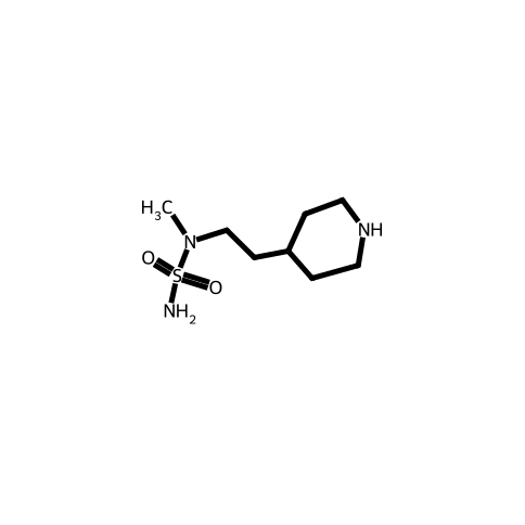 CN(CCC1CCNCC1)S(N)(=O)=O